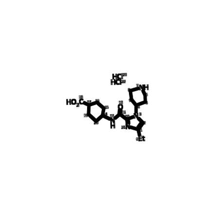 CCc1cn(C2CCNCC2)c(C(=O)NC2CCC(C(=O)O)CC2)n1.Cl.Cl